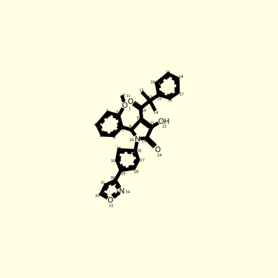 COc1ccccc1C1C(C(=O)C(C)(C)c2ccccc2)=C(O)C(=O)N1c1ccc(-c2ccon2)cc1